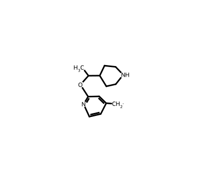 [CH2]c1ccnc(OC(C)C2CCNCC2)c1